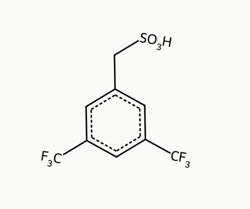 O=S(=O)(O)Cc1cc(C(F)(F)F)cc(C(F)(F)F)c1